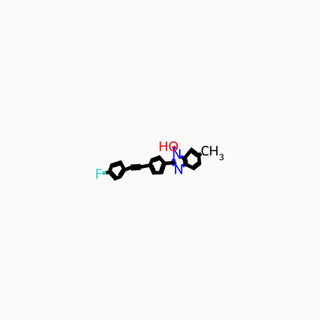 Cc1ccc2nc(-c3ccc(C#Cc4ccc(F)cc4)cc3)n(O)c2c1